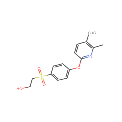 Cc1nc(Oc2ccc(S(=O)(=O)CCO)cc2)ccc1C=O